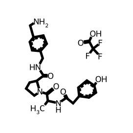 CC(NC(=O)Cc1ccc(O)cc1)C(=O)N1CCCC1C(=O)NCc1ccc(CN)cc1.O=C(O)C(F)(F)F